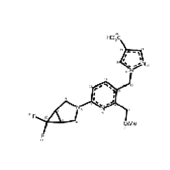 COCc1nc(N2CC3C(C2)C3(F)F)ccc1Cn1cc(C(=O)O)cn1